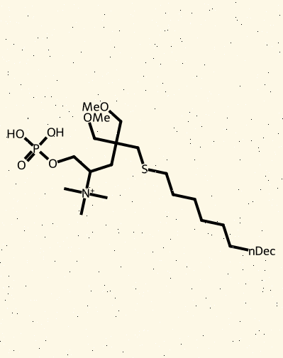 CCCCCCCCCCCCCCCCSCC(COC)(COC)CC(COP(=O)(O)O)[N+](C)(C)C